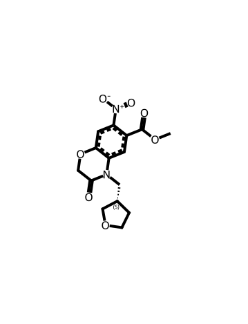 COC(=O)c1cc2c(cc1[N+](=O)[O-])OCC(=O)N2C[C@@H]1CCOC1